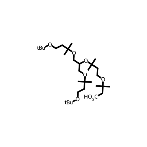 CC(C)(C)OCCC(C)(C)OCC(COC(C)(C)CCOC(C)(C)C)OC(C)(C)CCOC(C)(C)CC(=O)O